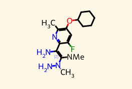 CN/C(=C(/N)c1nc(C)c(OC2CCCCC2)cc1F)N(C)N